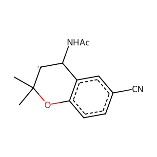 CC(=O)NC1[C]C(C)(C)Oc2ccc(C#N)cc21